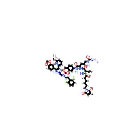 Cc1cccc(-c2nc(CN(CCc3c(F)cccc3F)C(=O)OCc3ccc(NC(=O)C(CCCNC(N)=O)NC(=O)C(NC(=O)CCCCCN4C(=O)C=CC4=O)C(C)C)cc3)[nH]c2-c2ccc3c(c2)OCO3)n1